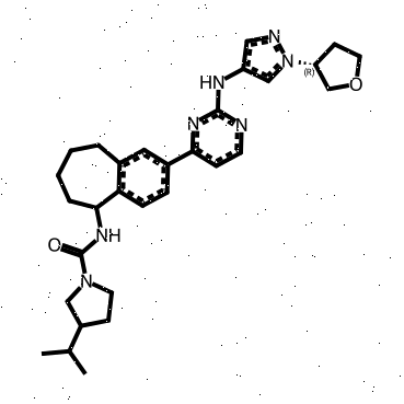 CC(C)C1CCN(C(=O)NC2CCCCc3cc(-c4ccnc(Nc5cnn([C@@H]6CCOC6)c5)n4)ccc32)C1